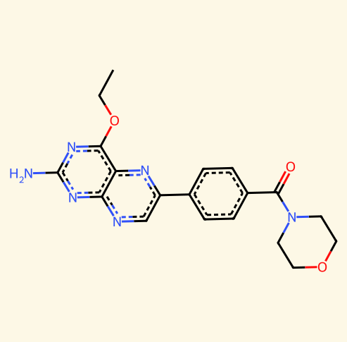 CCOc1nc(N)nc2ncc(-c3ccc(C(=O)N4CCOCC4)cc3)nc12